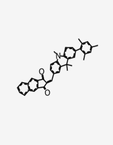 Cc1cc(C)c(-c2ccc3c(c2)C(C)(C)c2cc(C=C4C(=O)c5cc6ccccc6cc5C4=O)ccc2N3C)c(C)c1